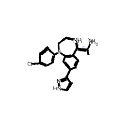 C/C(N)=C1/NCCN(c2ccc(Cl)cc2)c2cc(-c3cc[nH]n3)ccc21